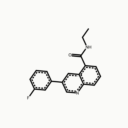 CCNC(=O)c1cccc2ncc(-c3cccc(F)c3)cc12